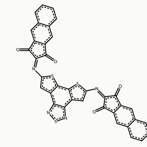 O=c1c(=Nc2cc3c4nsnc4c4cc(N=c5c(=O)c6cc7ccccc7cc6c5=O)sc4c3s2)c(=O)c2cc3ccccc3cc12